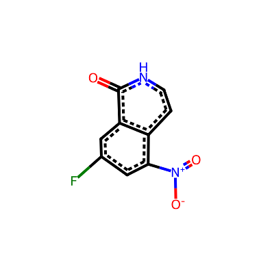 O=c1[nH]ccc2c([N+](=O)[O-])cc(F)cc12